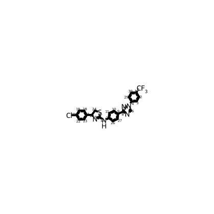 FC(F)(F)c1ccc(-n2cnc(-c3ccc(NC4=NC(c5ccc(Cl)cc5)CS4)cc3)n2)cc1